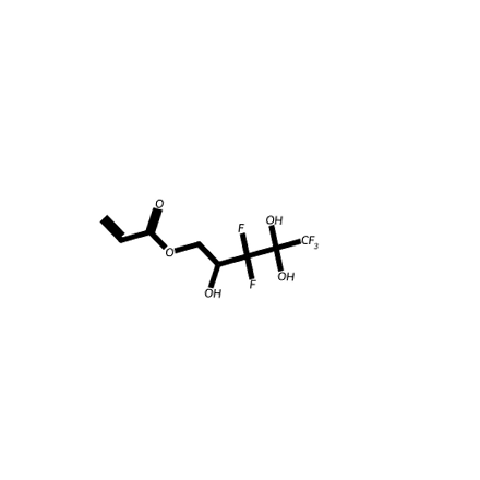 C=CC(=O)OCC(O)C(F)(F)C(O)(O)C(F)(F)F